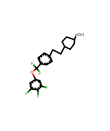 CCCCCCCCC1CCC(CCc2ccc(C(F)(F)Oc3cc(F)c(F)c(F)c3)cc2)CC1